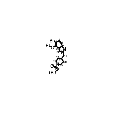 CCOc1c(Br)ccc2nn(CC3CCN(C(=O)OC(C)(C)C)CC3)cc12